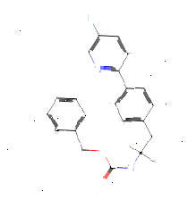 CC(Cc1ccc(-c2ccc(F)cn2)cc1)(NC(=O)OCc1ccccc1)C(=O)O